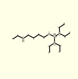 CCNCCCCO[SiH](N(CC)CC)N(CC)CC